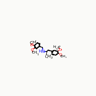 COc1ccc(CN[C@H](C)Cc2ccc(OC)c(OC)c2)cc1OC